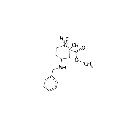 COC(=O)C1(C)CC(NCc2ccccc2)CCN1C